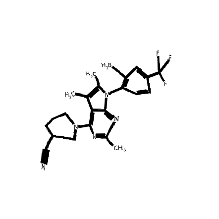 Bc1cc(C(F)(F)F)ccc1-n1c(C)c(C)c2c(N3CCCC(C#N)C3)nc(C)nc21